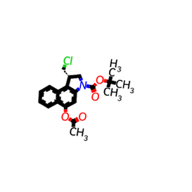 CC(=O)Oc1cc2c(c3ccccc13)[C@H](CCl)CN2C(=O)OC(C)(C)C